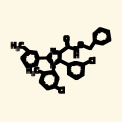 Cc1cccc(-c2nc(C(=O)NOCc3ccccc3)c(-c3cccc(Cl)c3)n2-c2cc(Cl)ccc2C)c1